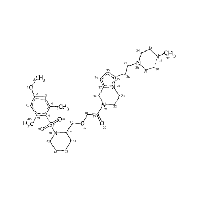 COc1cc(C)c(S(=O)(=O)N2CCCCC2COCC(=O)N2CCn3c(CCN4CCN(C)CC4)ccc3C2)c(C)c1